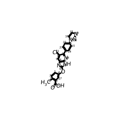 Cc1ccc(Oc2nc3cc(Cl)c(-c4ccc(-n5ccnn5)cc4)nc3[nH]2)cc1C(=O)O